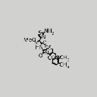 CON=C(C(=O)NC1C(=O)N2C(C(=O)[O-])=C(C[n+]3cccc(C)c3C)CS[C@@H]12)c1csc(N)n1